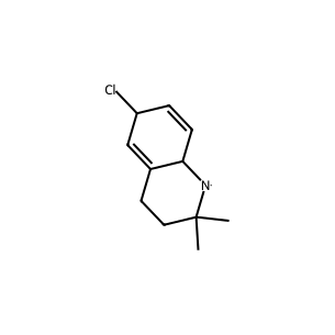 CC1(C)CCC2=CC(Cl)C=CC2[N]1